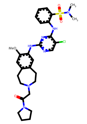 COc1cc2c(cc1Nc1ncc(Cl)c(Nc3ccccc3S(=O)(=O)N(C)C)n1)CCN(CC(=O)N1CCCC1)CC2